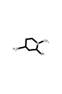 CC(C)C1CC(N)CCN1C